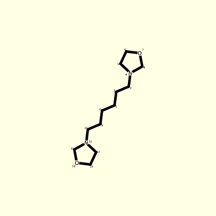 C(CCCN1CCOC1)CCN1CCOC1